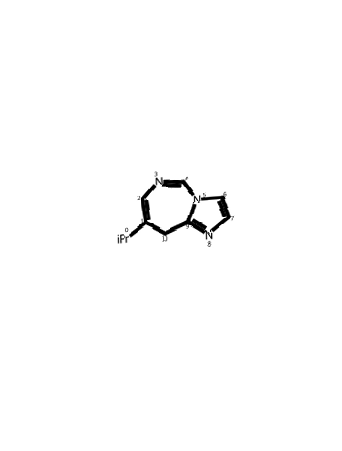 CC(C)C1=CN=Cn2ccnc2C1